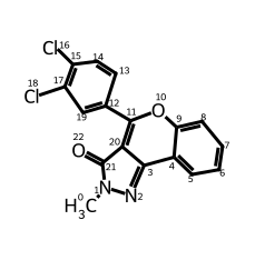 Cn1nc2c3ccccc3oc(-c3ccc(Cl)c(Cl)c3)c-2c1=O